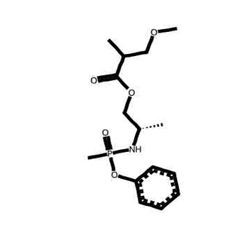 COCC(C)C(=O)OC[C@H](C)NP(C)(=O)Oc1ccccc1